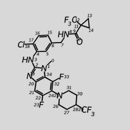 Cn1c(Nc2cc(CNC(=O)C3(C(F)(F)F)CC3)ccc2Cl)nc2cc(F)c(N3CCC(C(F)(F)F)CC3)c(F)c21